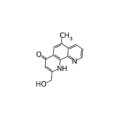 Cc1cc2c(=O)cc(CO)[nH]c2c2ncccc12